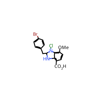 COc1ccc(C(=O)O)c2c1N(Cl)C(Cc1ccc(Br)cc1)N2